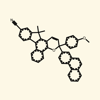 COc1ccc(C2(c3ccc4c(ccc5ccccc54)c3)C=Cc3c4c(c5ccccc5c3O2)-c2ccc(C#N)cc2C4(C)C)cc1